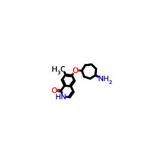 Cc1cc2c(=O)[nH]ccc2cc1OC1CCCC(N)CC1